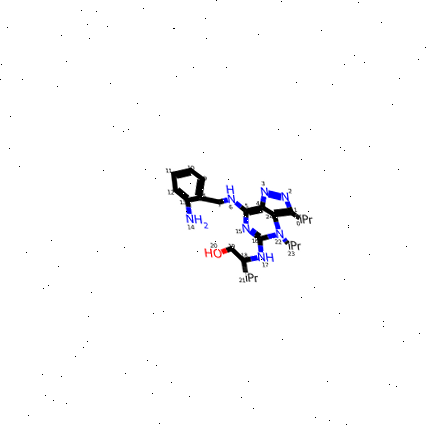 CC(C)c1nnc2c(NCc3ccccc3N)nc(NC(CO)C(C)C)n(C(C)C)c1-2